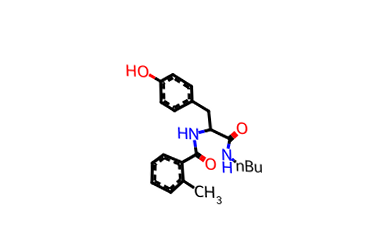 CCCCNC(=O)C(Cc1ccc(O)cc1)NC(=O)c1ccccc1C